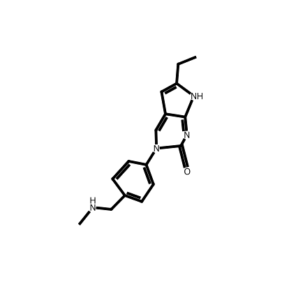 CCc1cc2cn(-c3ccc(CNC)cc3)c(=O)nc2[nH]1